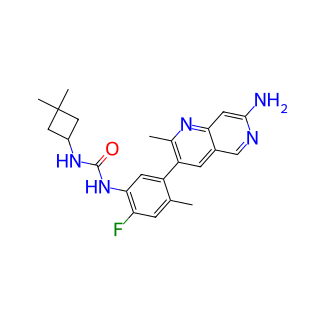 Cc1cc(F)c(NC(=O)NC2CC(C)(C)C2)cc1-c1cc2cnc(N)cc2nc1C